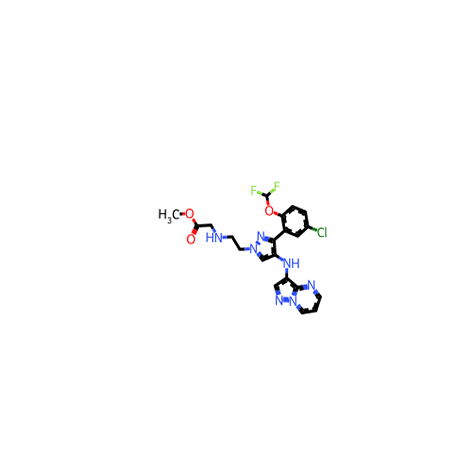 COC(=O)CNCCn1cc(Nc2cnn3cccnc23)c(-c2cc(Cl)ccc2OC(F)F)n1